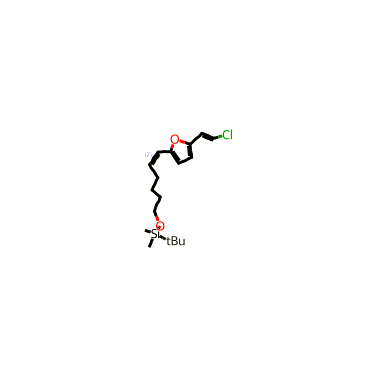 CC(C)(C)[Si](C)(C)OCCCC/C=C\c1ccc(C=CCl)o1